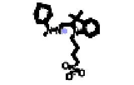 CN(/N=C/C1=[N+](CCCCS(=O)(=O)[O-])c2ccccc2C1(C)C)c1ccccc1